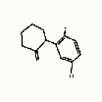 C=C1CCCCC1c1cc(Cl)ccc1F